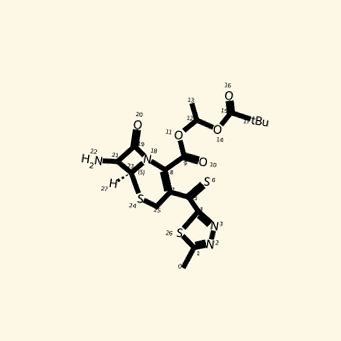 Cc1nnc(C(=S)C2=C(C(=O)OC(C)OC(=O)C(C)(C)C)N3C(=O)C(N)[C@@H]3SC2)s1